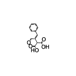 O=CC(=Cc1ccccc1)C(C(=O)O)C(=O)O